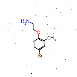 Cc1cc(Br)ccc1OCCN